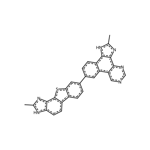 Cc1nc2c(ccc3c4ccc(-c5ccc6c(c5)c5cncnc5c5nc(C)[nH]c65)cc4sc32)[nH]1